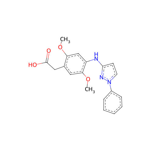 COc1cc(Nc2ccn(-c3ccccc3)n2)c(OC)cc1CC(=O)O